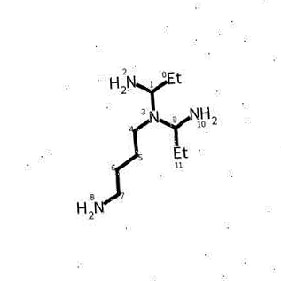 CCC(N)N(CCCCN)C(N)CC